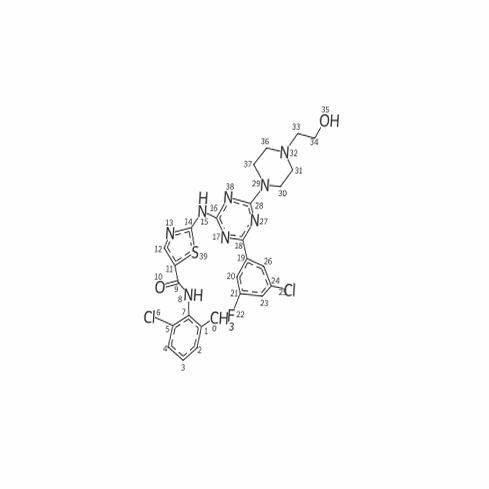 Cc1cccc(Cl)c1NC(=O)c1cnc(Nc2nc(-c3cc(F)cc(Cl)c3)nc(N3CCN(CCO)CC3)n2)s1